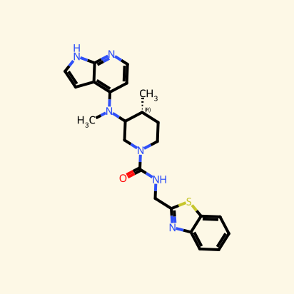 C[C@@H]1CCN(C(=O)NCc2nc3ccccc3s2)CC1N(C)c1ccnc2[nH]ccc12